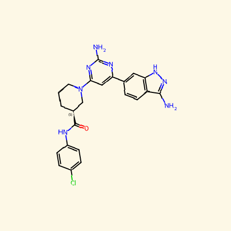 Nc1nc(-c2ccc3c(N)n[nH]c3c2)cc(N2CCC[C@H](C(=O)Nc3ccc(Cl)cc3)C2)n1